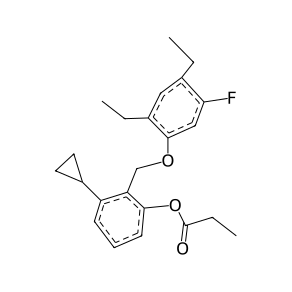 CCC(=O)Oc1cccc(C2CC2)c1COc1cc(F)c(CC)cc1CC